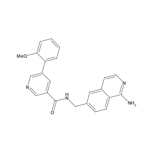 COc1ccccc1-c1cncc(C(=O)NCc2ccc3c(N)nccc3c2)c1